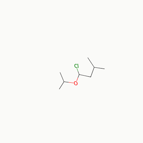 CC(C)CC(Cl)OC(C)C